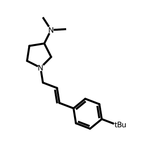 CN(C)C1CCN(C/C=C/c2ccc(C(C)(C)C)cc2)C1